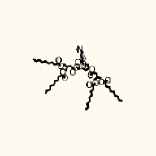 CCCCCCCCC(=O)OCC(COC(=O)CCCCCCCC)CC(=O)OC[C@H]1C[C@@H](OC(=O)CC(COC(=O)CCCCCCCC)COC(=O)CCCCCCCC)CN1C(=O)OCCN(C)C